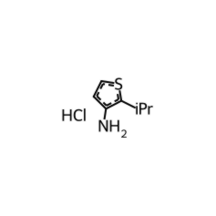 CC(C)c1sccc1N.Cl